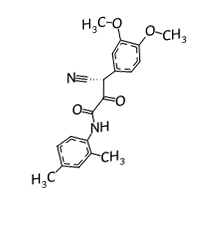 COc1ccc([C@@H](C#N)C(=O)C(=O)Nc2ccc(C)cc2C)cc1OC